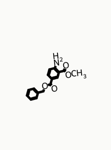 COC(=O)c1cc(C(=O)OCc2ccccc2)ccc1N